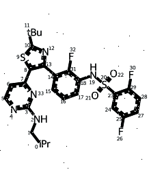 CC(C)CNc1nccc(-c2sc(C(C)(C)C)nc2-c2cccc(NS(=O)(=O)c3cc(F)ccc3F)c2F)n1